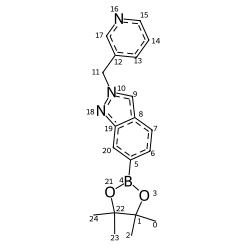 CC1(C)OB(c2ccc3cn(Cc4cccnc4)nc3c2)OC1(C)C